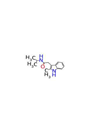 Cc1[nH]c2ccccc2c1CC(=O)NC(C)C